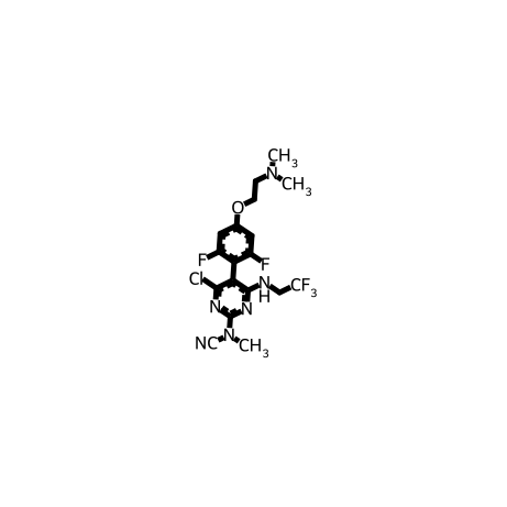 CN(C)CCOc1cc(F)c(-c2c(Cl)nc(N(C)C#N)nc2NCC(F)(F)F)c(F)c1